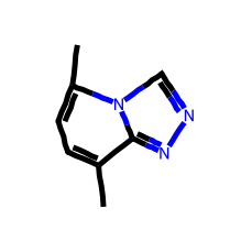 Cc1ccc(C)n2cnnc12